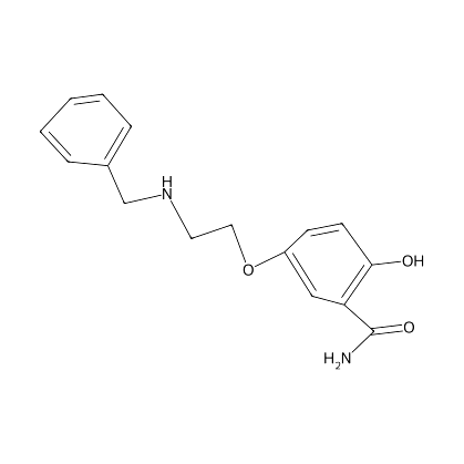 NC(=O)c1cc(OCCNCc2ccccc2)ccc1O